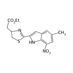 CCOC(=O)CC1CSC(c2cc3cc(C)cc([N+](=O)[O-])c3[nH]2)=N1